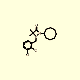 CC1(C)C(=O)N(C2CCCCCCC2)N1Cc1cccc(Cl)c1Cl